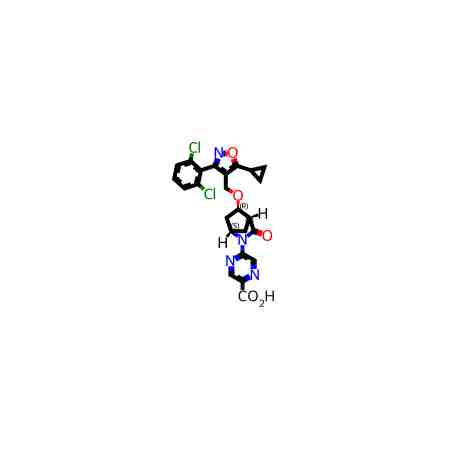 O=C(O)c1cnc(N2C(=O)[C@@H]3C[C@H]2C[C@H]3OCc2c(-c3c(Cl)cccc3Cl)noc2C2CC2)cn1